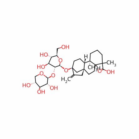 C=C1C[C@]23CC[C@H]4C(C)(C(=O)O)CCC[C@]4(C)[C@H]2CC[C@]1(O[C@@H]1O[C@H](CO)[C@@H](O)[C@H](O)[C@H]1O[C@@H]1OC[C@@H](O)[C@H](O)[C@H]1O)C3